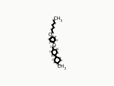 CCCCCCCOc1ccc(OCC2CCC(C3CCC(C)CC3)CC2)cc1